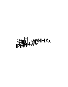 CC(=O)NC1CCN(c2ccc(CNS(=O)(=O)C(CC(C)C)c3ccccc3)cc2)CC1